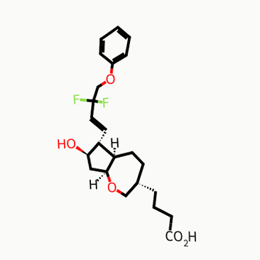 O=C(O)CCC[C@H]1CC[C@@H]2[C@@H](/C=C/C(F)(F)COc3ccccc3)[C@H](O)C[C@@H]2OC1